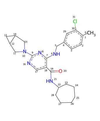 Cc1ccc(CNc2nc(N3CC4CC4C3)ncc2C(=O)NC2CCCCCC2)cc1Cl